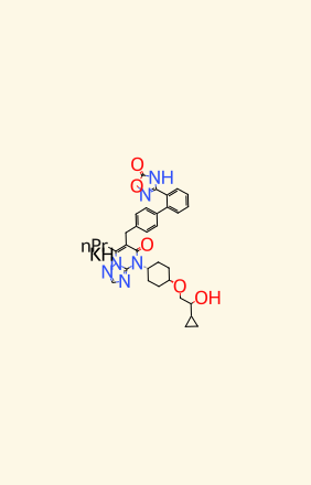 CCCc1c(Cc2ccc(-c3ccccc3-c3noc(=O)[nH]3)cc2)c(=O)n([C@H]2CC[C@H](OCC(O)C3CC3)CC2)c2ncnn12.[KH]